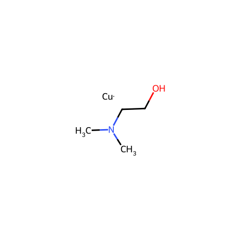 CN(C)CCO.[Cu]